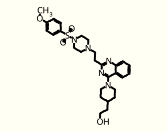 COc1ccc(S(=O)(=O)N2CCN(CCc3nc(N4CCC(CCO)CC4)c4ccccc4n3)CC2)cc1